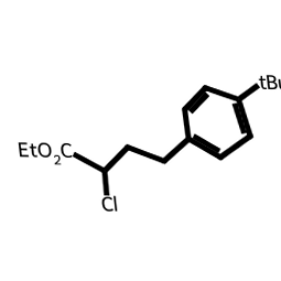 CCOC(=O)C(Cl)CCc1ccc(C(C)(C)C)cc1